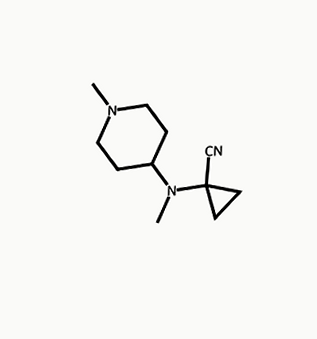 CN1CCC(N(C)C2(C#N)CC2)CC1